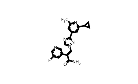 NC(=O)/C(=C/n1cnc(-c2cc(C3CC3)nc(C(F)(F)F)c2)n1)c1cncc(F)c1